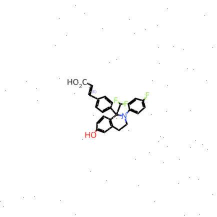 O=C(O)/C=C/c1ccc(C2(C(F)F)c3ccc(O)cc3CCN2c2ccc(F)cc2)cc1